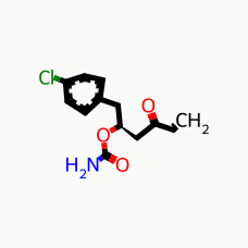 C=CC(=O)C[C@H](Cc1ccc(Cl)cc1)OC(N)=O